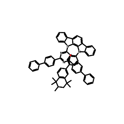 CC1CC(C)(C)c2cc(-c3ccc(-n4c5ccccc5c5ccc6c7ccccc7n(-c7nc(-c8ccc(-c9ccccc9)cc8)nc(-c8ccc(-c9ccccc9)cc8)n7)c6c54)cc3)ccc2C1(C)C